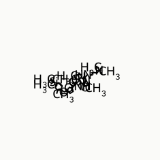 COc1nc(NCCCN(C)C)nc(OC)c1NC(=O)c1ccc(Oc2ccc([Si](C)(C)C)cc2C)o1